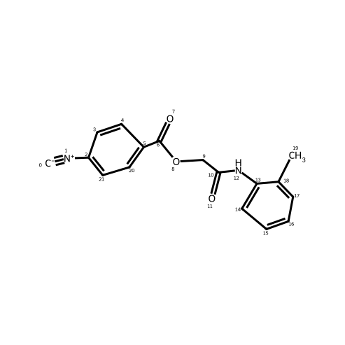 [C-]#[N+]c1ccc(C(=O)OCC(=O)Nc2ccccc2C)cc1